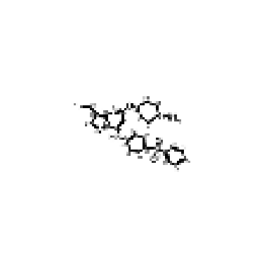 N[C@H]1CC[C@H](Oc2cc(Nc3ccc(S(=O)(=O)c4ccccc4)cc3)n3ncc(CI)c3n2)CC1